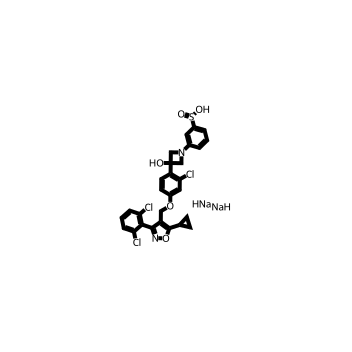 O=S(O)c1cccc(N2CC(O)(c3ccc(OCc4c(-c5c(Cl)cccc5Cl)noc4C4CC4)cc3Cl)C2)c1.[NaH].[NaH]